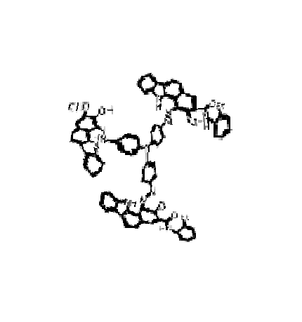 CCc1ccccc1NC(=O)c1cc2ccc3c4ccccc4[nH]c3c2c(N=Nc2ccc(N(c3ccc(N=Nc4c(O)c(C=O)cc5ccc6c7ccccc7[nH]c6c45)cc3)c3ccc(N=Nc4c(O)c(C(=O)Nc5ccccc5CC)cc5ccc6c7ccccc7[nH]c6c45)cc3)cc2)c1O